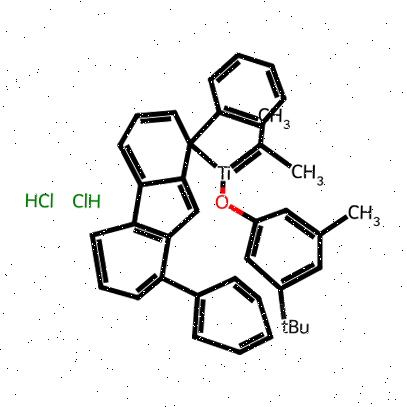 C[C](C)=[Ti]([O]c1cc(C)cc(C(C)(C)C)c1)[C]1(c2ccccc2)C=CC=C2C1=Cc1c2cccc1-c1ccccc1.Cl.Cl